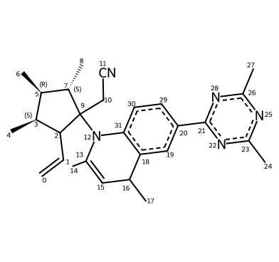 C=CC1[C@@H](C)[C@@H](C)[C@H](C)C1(CC#N)N1C(C)=CC(C)c2cc(-c3nc(C)nc(C)n3)ccc21